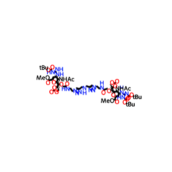 COC(=O)C1=C[C@H](NC(=N)NC(=O)OC(C)(C)C)[C@@H](NC(C)=O)[C@H]([C@H](OCC(=O)NCCn2cc(CNCc3cn(CCNC(=O)CO[C@@H]([C@@H]4OC(C(=O)OC)=C[C@H](N/C(=N/C(=O)OC(C)(C)C)NC(=O)OC(C)(C)C)[C@H]4NC(C)=O)[C@H]4COC(=O)O4)nn3)nn2)[C@H]2COC(=O)O2)O1